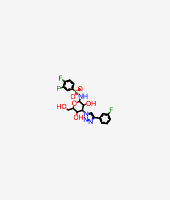 O=S(=O)(NC1OC(CO)C(O)C(n2cc(-c3cccc(F)c3)nn2)C1O)c1ccc(F)c(F)c1